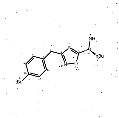 [CH2]CCC[C@H](N)c1nc(Cc2ccc(C(C)(C)C)cc2)no1